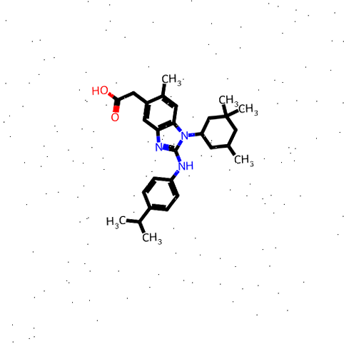 Cc1cc2c(cc1CC(=O)O)nc(Nc1ccc(C(C)C)cc1)n2C1CC(C)CC(C)(C)C1